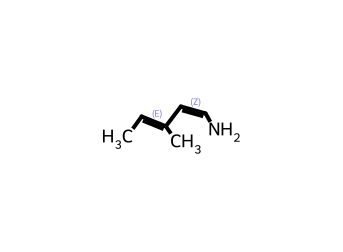 C/C=C(C)/C=C\N